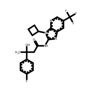 CC(O)(CC(=O)Nc1nc2cc(C(F)(F)F)cnc2n1C1CCC1)c1ccc(F)cc1